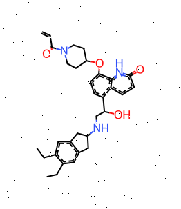 C=CC(=O)N1CCC(Oc2ccc(C(O)CNC3Cc4cc(CC)c(CC)cc4C3)c3ccc(=O)[nH]c23)CC1